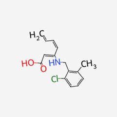 C=C/C=C\C(=C\C(=O)O)NCc1c(C)cccc1Cl